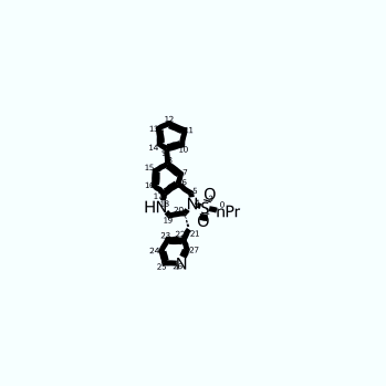 CCCS(=O)(=O)N1Cc2cc(-c3ccccc3)ccc2NC[C@H]1Cc1cccnc1